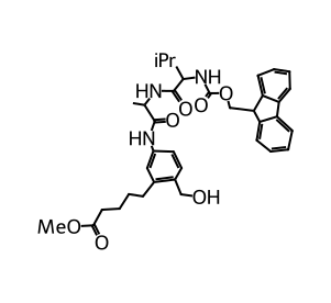 COC(=O)CCCCc1cc(NC(=O)C(C)NC(=O)C(NC(=O)OCC2c3ccccc3-c3ccccc32)C(C)C)ccc1CO